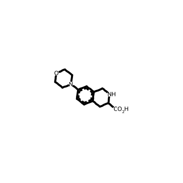 O=C(O)C1Cc2ccc(N3CCOCC3)cc2CN1